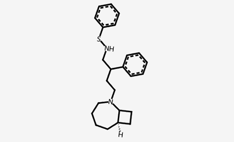 c1ccc(SNCC(CCN2CCCC[C@@H]3CCC32)c2ccccc2)cc1